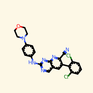 N#Cc1nc2nc(Nc3ccc(N4CCOCC4)cc3)ncc2cc1-c1c(Cl)cccc1Cl